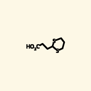 O=C(O)CCC1SCCCS1